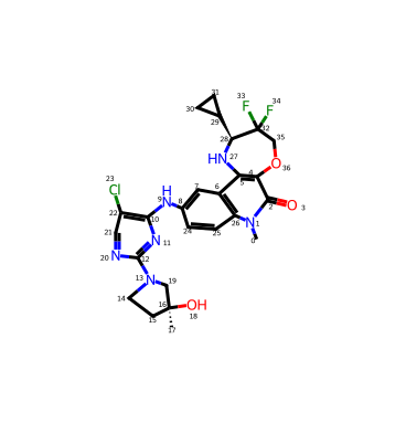 Cn1c(=O)c2c(c3cc(Nc4nc(N5CC[C@](C)(O)C5)ncc4Cl)ccc31)N[C@@H](C1CC1)C(F)(F)CO2